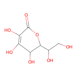 O=C1OC(C(O)CO)C(O)C(O)=C1O